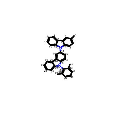 Cc1ccc2c(c1)c1ccccc1n2-c1ccc2c(c1)c1ccccc1n2-c1c(C)cccc1C